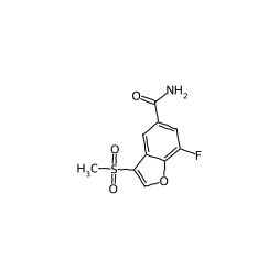 CS(=O)(=O)c1coc2c(F)cc(C(N)=O)cc12